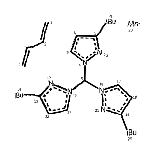 C=CC=C.CCC(C)c1ccn(C(n2ccc(C(C)CC)n2)n2ccc(C(C)CC)n2)n1.[Mn]